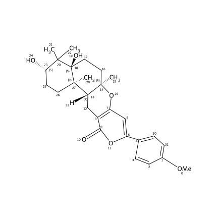 COc1ccc(-c2cc3c(c(=O)o2)C[C@H]2[C@@](C)(CC[C@@]4(O)C(C)(C)[C@@H](O)CC[C@]24C)O3)cc1